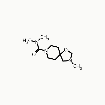 CN1COC2(CCN(C(=O)N(C)C)CC2)C1